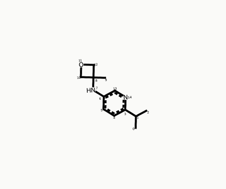 CC(C)c1ccc(NC2(C)COC2)cn1